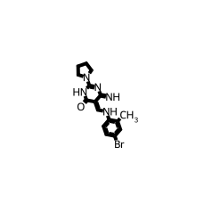 Cc1cc(Br)ccc1N/C=C1\C(=N)N=C(N2CCCC2)NC1=O